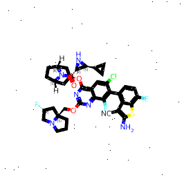 N#Cc1c(N)sc2c(F)ccc(-c3c(Cl)cc4c(O[C@H]5C[C@H]6CC[C@@H](C5)N6C(=O)[C@@H]5N[C@H]5C5CC5)nc(OC[C@@]56CCCN5C[C@H](F)C6)nc4c3F)c12